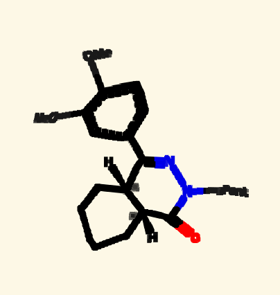 CCCCCN1N=C(c2ccc(OC)c(OC)c2)[C@H]2CCCC[C@H]2C1=O